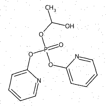 CC(O)OP(=O)(Oc1ccccn1)Oc1ccccn1